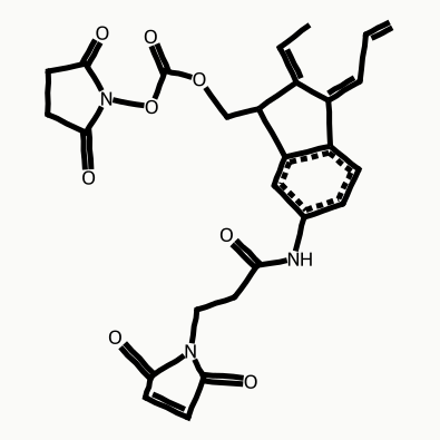 C=C/C=C1\C(=C/C)C(COC(=O)ON2C(=O)CCC2=O)c2cc(NC(=O)CCN3C(=O)C=CC3=O)ccc21